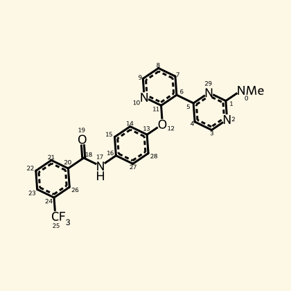 CNc1nccc(-c2cccnc2Oc2ccc(NC(=O)c3cccc(C(F)(F)F)c3)cc2)n1